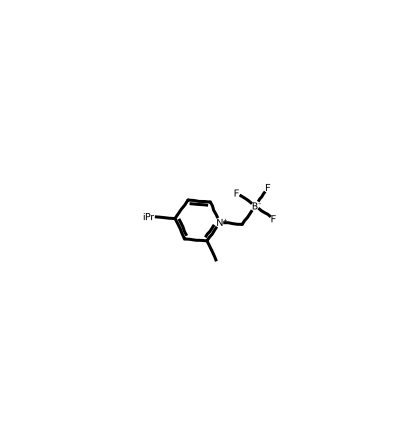 Cc1cc(C(C)C)cc[n+]1C[B-](F)(F)F